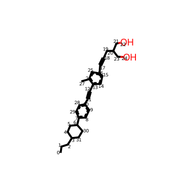 CCCC1CCC(c2ccc(C#Cc3ccc(C#CCC(CO)CO)cc3C)cc2)CC1